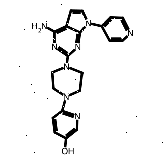 Nc1nc(N2CCN(c3ccc(O)cn3)CC2)nc2c1ccn2-c1ccncc1